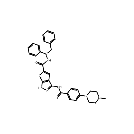 CN1CCN(c2ccc(C(=O)Nc3n[nH]c4sc(C(=O)NN(Cc5ccccc5)c5ccccc5)cc34)cc2)CC1